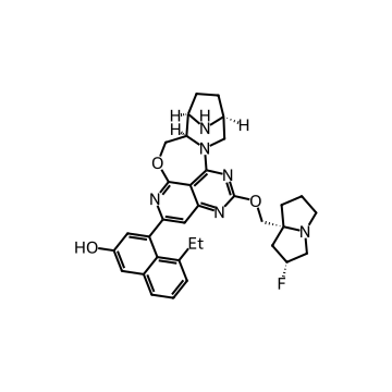 CCc1cccc2cc(O)cc(-c3cc4nc(OC[C@]56CCCN5C[C@H](F)C6)nc5c4c(n3)OC[C@H]3[C@H]4CC[C@@H](CN53)N4)c12